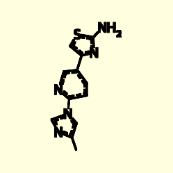 Cc1cn(-c2ccc(-c3csc(N)n3)cn2)cn1